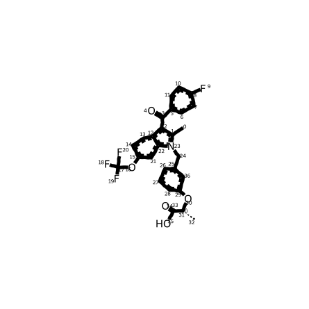 Cc1c(C(=O)c2ccc(F)cc2)c2ccc(OC(F)(F)F)cc2n1Cc1cccc(O[C@H](C)C(=O)O)c1